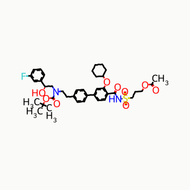 CC(=O)OCCCS(=O)(=O)NC(=O)c1ccc(-c2ccc(CCN(C[C@@H](O)c3cccc(F)c3)C(=O)OC(C)(C)C)cc2)cc1OC1CCCCC1